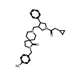 N#Cc1ccc(CN2CCC3(CCN(CC4CN(C(=O)CC5CC5)CC4c4ccccc4)CC3)C2=O)cc1